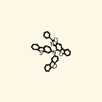 c1ccc(-c2nc3c(N(c4ccc5c(c4)sc4ccccc45)c4ccc5oc6ccccc6c5c4)c4oc5ccccc5c4cc3o2)cc1